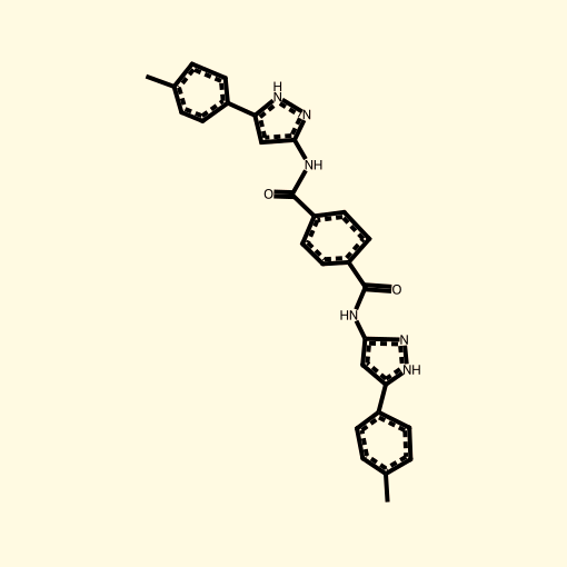 Cc1ccc(-c2cc(NC(=O)c3ccc(C(=O)Nc4cc(-c5ccc(C)cc5)[nH]n4)cc3)n[nH]2)cc1